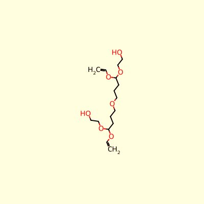 C=COC(CCCOCCCC(OC=C)OCCO)OCCO